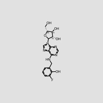 OC[C@H]1OC(n2cnc3c(NCc4cccc(F)c4O)ncnc32)[C@@H](O)[C@@H]1O